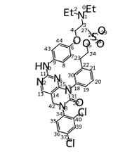 CCN(CC)CCOc1ccc(Nc2ncc3c(n2)N(c2cccc(CCOS(C)(=O)=O)c2)C(=O)N(c2ccc(Cl)cc2Cl)C3)cc1